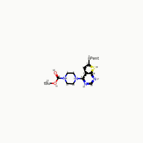 CCCCCc1cc2c(N3CCN(C(=O)OC(C)(C)C)CC3)ncnc2s1